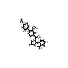 COc1ncc(-c2ccc(C(=O)N3CCC[C@@H]3c3ccccc3Cl)cc2OC)cn1